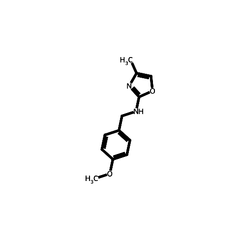 COc1ccc(CNc2nc(C)co2)cc1